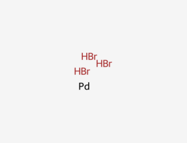 Br.Br.Br.[Pd]